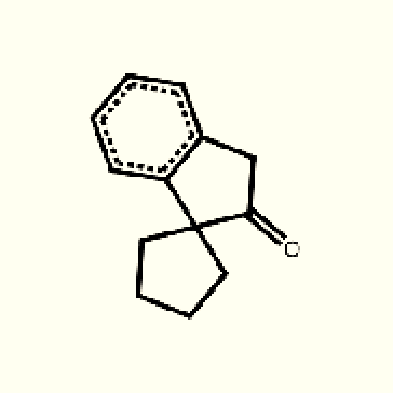 O=C1Cc2ccccc2C12CCCC2